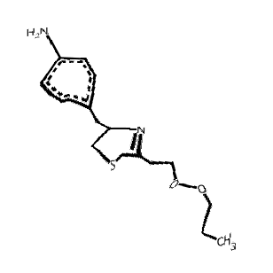 CCOOCC1=NC(c2ccc(N)cc2)CS1